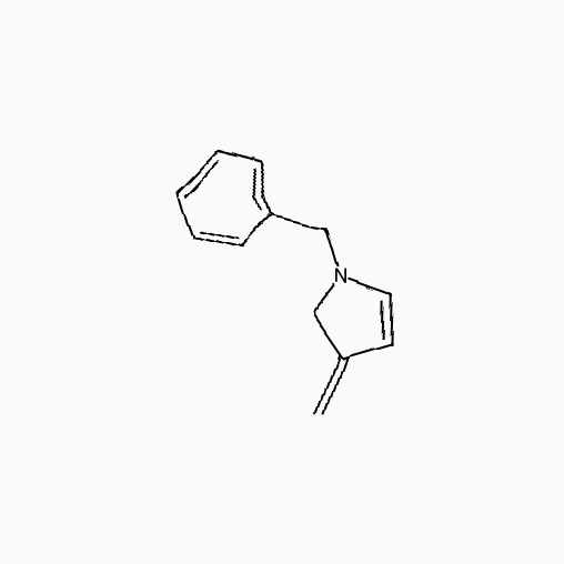 C=C1C=CN(Cc2ccccc2)C1